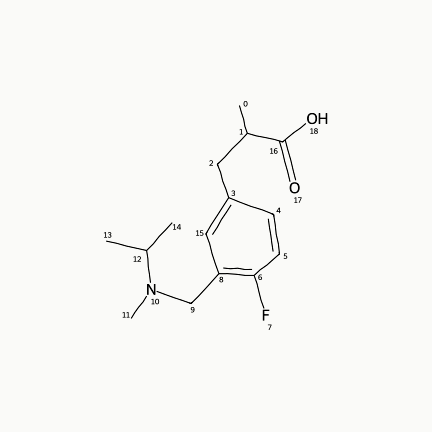 CC(Cc1ccc(F)c(CN(C)C(C)C)c1)C(=O)O